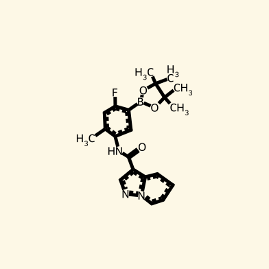 Cc1cc(F)c(B2OC(C)(C)C(C)(C)O2)cc1NC(=O)c1cnn2ccccc12